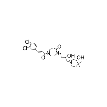 CC1(C)CCN(C[C@H](O)CCN2CCN(C(=O)C=Cc3ccc(Cl)c(Cl)c3)CCC2=O)CC1O